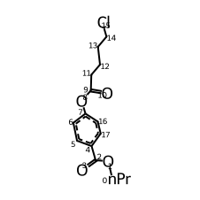 CCCOC(=O)c1ccc(OC(=O)CCCCCl)cc1